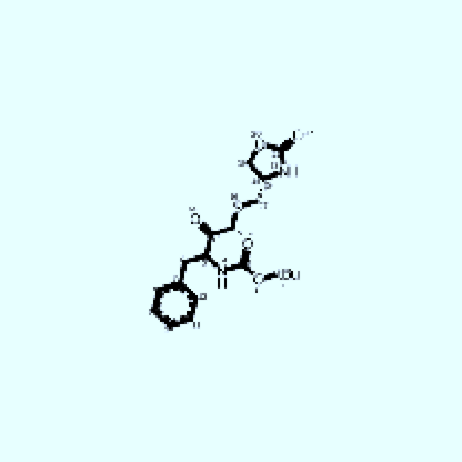 CC(C)(C)OC(=O)NC(Cc1ccccc1)C(=O)CSC[C@@H]1COC(=O)N1